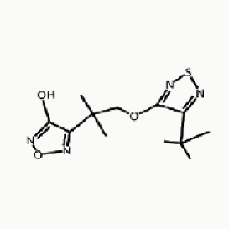 CC(C)(C)c1nsnc1OCC(C)(C)c1nonc1O